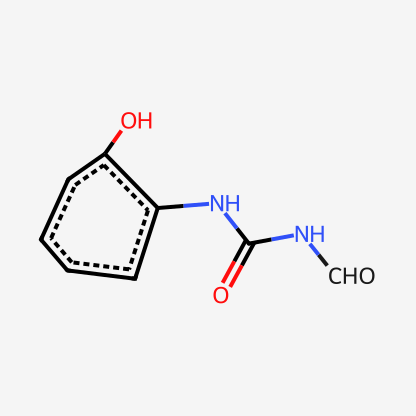 O=CNC(=O)Nc1ccccc1O